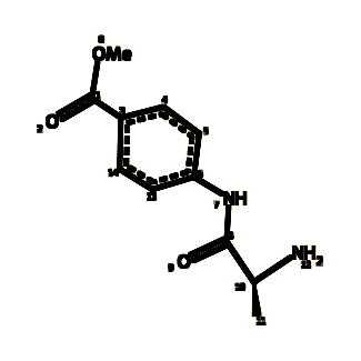 COC(=O)c1ccc(NC(=O)[C@H](C)N)cc1